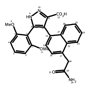 COc1cccc(OC)c1-c1[nH]nc(C(=O)O)c1-c1ccc(CC(N)=O)c2ccccc12